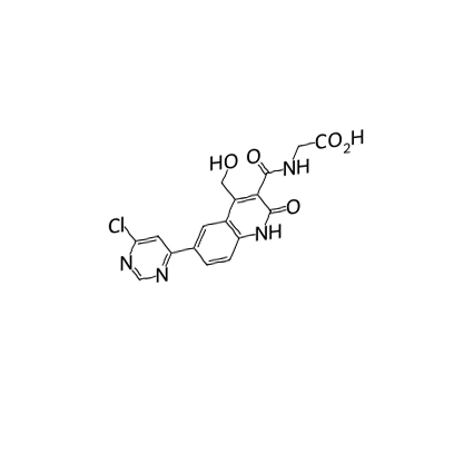 O=C(O)CNC(=O)c1c(CO)c2cc(-c3cc(Cl)ncn3)ccc2[nH]c1=O